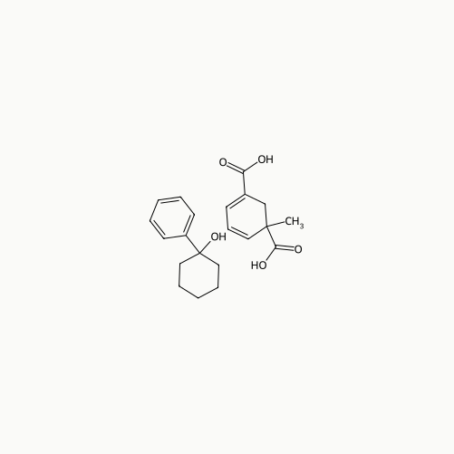 CC1(C(=O)O)C=CC=C(C(=O)O)C1.OC1(c2ccccc2)CCCCC1